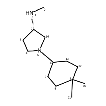 CN[C@H]1CCN(C2CCC(C)(C)CC2)C1